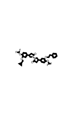 O=C1CC(c2ccc(OC(F)F)c(OCCc3ccccc3)c2)CN1N1CC(c2ccc(OC(F)F)c(OCC3CC3)c2)CC1=O